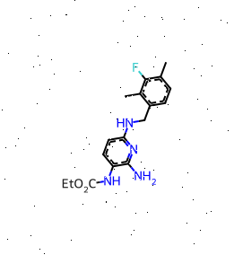 CCOC(=O)Nc1ccc(NCc2ccc(C)c(F)c2C)nc1N